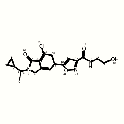 C[C@@H](C1CC1)N1CC2=CC(c3cc(C(=O)NCCO)no3)CC(Cl)=C2C1=O